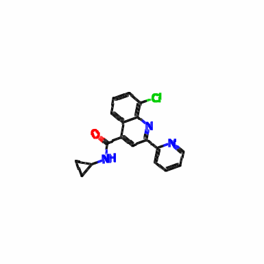 O=C(NC1CC1)c1cc(-c2ccccn2)nc2c(Cl)cccc12